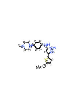 COc1ccc(-c2cc(Nc3ccc(N4CCN(C)CC4)cc3)[nH]n2)s1